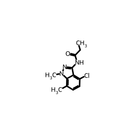 CCC(=O)Nc1nn(C)c2c(C)ccc(Cl)c12